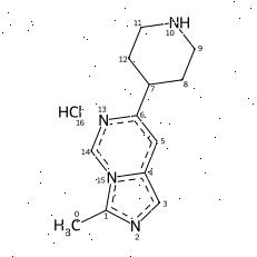 Cc1ncc2cc(C3CCNCC3)ncn12.Cl